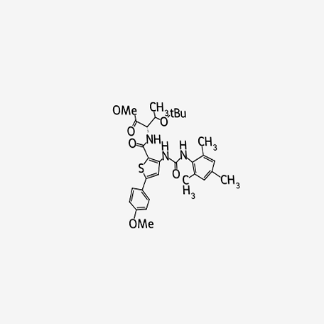 COC(=O)[C@@H](NC(=O)c1sc(-c2ccc(OC)cc2)cc1NC(=O)Nc1c(C)cc(C)cc1C)C(C)OC(C)(C)C